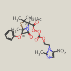 CC(=O)N[C@@]1(C(=O)OOC(=O)OCCn2c([N+](=O)[O-])cnc2C)N2C(=O)[C@@H](Oc3ccccc3)[C@@]2(C)SC1(C)C